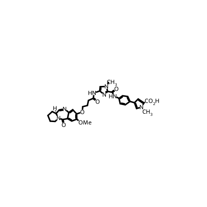 COc1cc2c(cc1OCCCC(=O)Nc1cn(C)c(C(=O)Nc3ccc(-c4cc(C(=O)O)n(C)c4)cc3)n1)N=C[C@@H]1CCCCN1C2=O